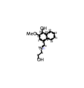 COc1cc(/C=N/CCO)c2ccccc2c1O